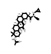 C#CN(OC1CC1)C(=O)[C@@]1(C)CC[C@]2(C)CC[C@]3(C)C(=CC(=O)[C@@H]4[C@@]5(C)CC[C@H](NC(C)=O)C(C)(C)C5CC[C@]43C)[C@@H]2C1